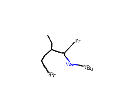 CC(C)CC(C)C(NC(C)(C)C)C(C)C